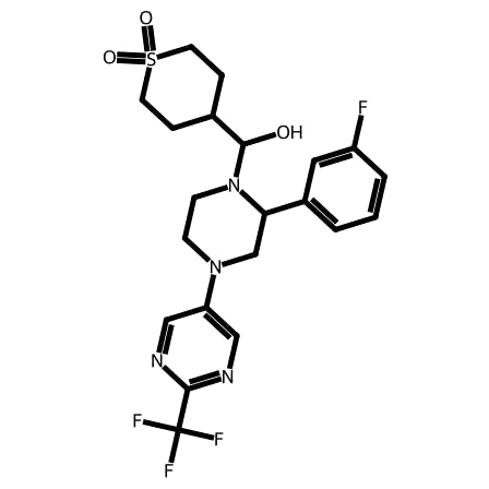 O=S1(=O)CCC(C(O)N2CCN(c3cnc(C(F)(F)F)nc3)CC2c2cccc(F)c2)CC1